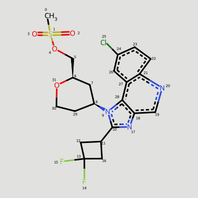 CS(=O)(=O)OC[C@H]1C[C@@H](n2c(C3CC(F)(F)C3)nc3cnc4ccc(Cl)cc4c32)CCO1